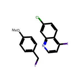 COc1ccc(CI)cc1.Clc1ccc2c(I)ccnc2c1